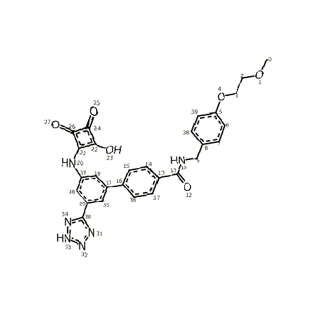 COCCOc1ccc(CNC(=O)c2ccc(-c3cc(Nc4c(O)c(=O)c4=O)cc(-c4nn[nH]n4)c3)cc2)cc1